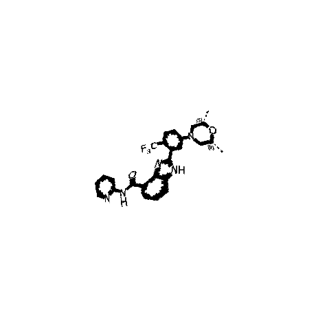 C[C@@H]1CN(c2ccc(C(F)(F)F)c(-c3nc4c(C(=O)Nc5ccccn5)cccc4[nH]3)c2)C[C@H](C)O1